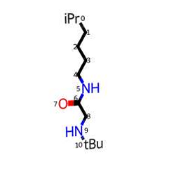 CC(C)CCCCNC(=O)CNC(C)(C)C